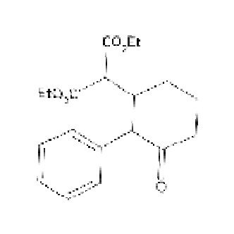 CCOC(=O)C(C(=O)OCC)C1CCCC(=O)C1c1ccccc1